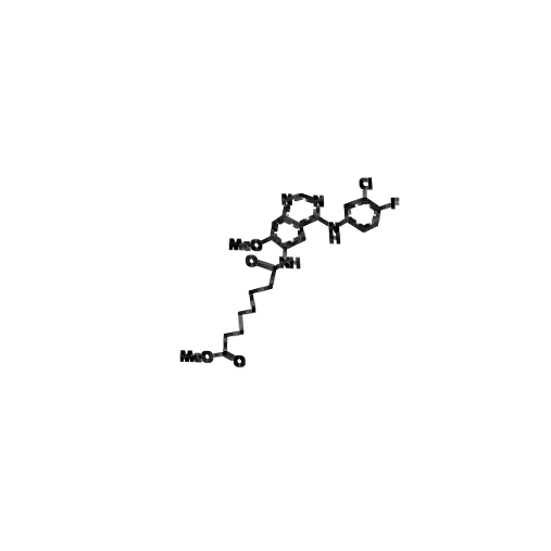 COC(=O)CCCCCCC(=O)Nc1cc2c(Nc3ccc(F)c(Cl)c3)ncnc2cc1OC